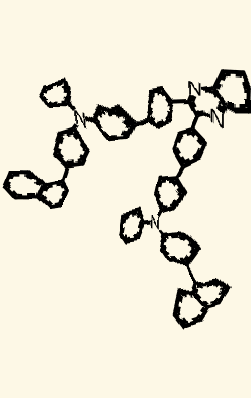 c1ccc(N(c2ccc(-c3ccc(-c4nc5ccccc5nc4-c4ccc(-c5ccc(N(c6ccccc6)c6ccc(-c7cccc8ccccc78)cc6)cc5)cc4)cc3)cc2)c2ccc(-c3cccc4ccccc34)cc2)cc1